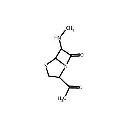 CNC1C(=O)N2C(C(C)=O)CSC12